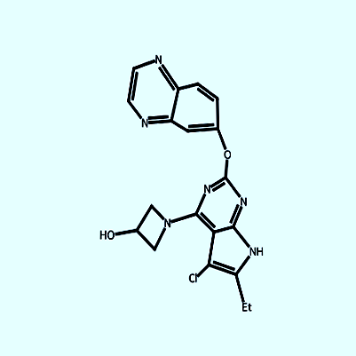 CCc1[nH]c2nc(Oc3ccc4nccnc4c3)nc(N3CC(O)C3)c2c1Cl